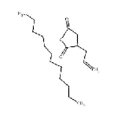 C=CCC1CC(=O)OC1=O.CCCCCCCCCCCC